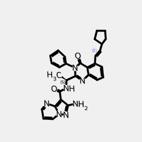 C[C@H](NC(=O)c1c(N)nn2cccnc12)c1nc2cccc(/C=C/C3CCCC3)c2c(=O)n1-c1ccccc1